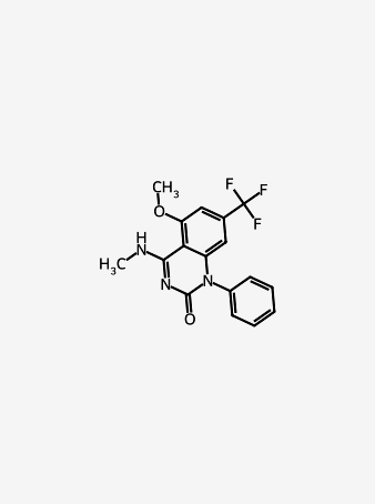 CNc1nc(=O)n(-c2ccccc2)c2cc(C(F)(F)F)cc(OC)c12